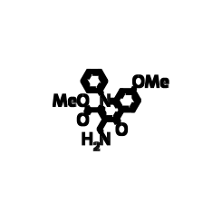 COC(=O)c1c(CN)c(=O)c2ccc(OC)cc2n1-c1ccccc1